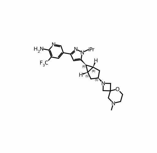 CC(C)n1nc(-c2cnc(N)c(C(F)(F)F)c2)cc1[C@H]1[C@@H]2C[C@@H](N3CC4(CN(C)CCO4)C3)C[C@@H]21